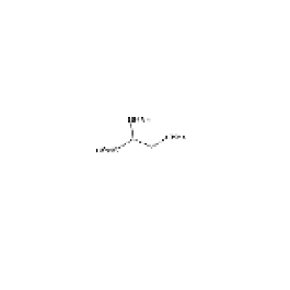 CCCCCCCC(CCCCC)NC(C)=O